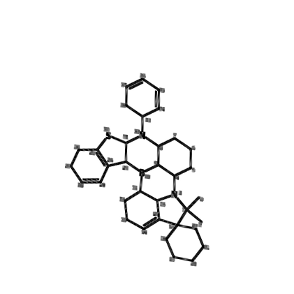 CC1(C)N2C3CCCC4C3B(C3CCC=C(C32)C12CCCCC2)C1C2=C(CCC=C2)SC1N4C1C=CC=CC1